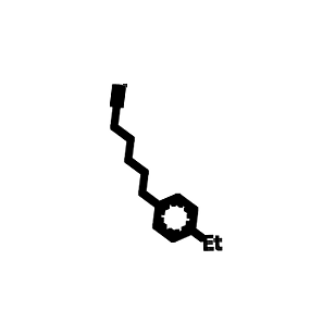 [C]#CCCCCCc1ccc(CC)cc1